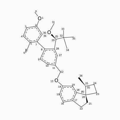 COc1ccc(F)c(-c2ccc(COc3ccc4c(c3)[C@@]3(CC4)CC[C@@H]3C)cc2[C@@H](OC)C(C)(C)C)c1